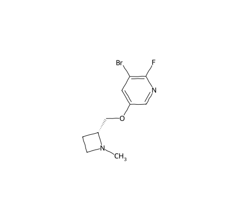 CN1CC[C@@H]1COc1cnc(F)c(Br)c1